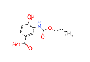 CCCOC(=O)Nc1cc(C(=O)O)ccc1O